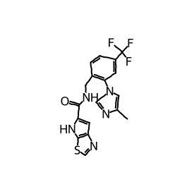 Cc1cn(-c2cc(C(F)(F)F)ccc2CNC(=O)c2cc3ncsc3[nH]2)cn1